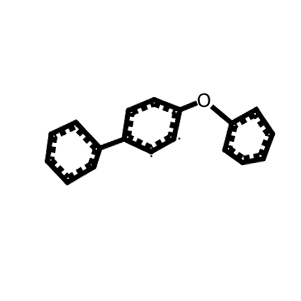 [c]1[c]c(-c2ccccc2)ccc1Oc1ccccc1